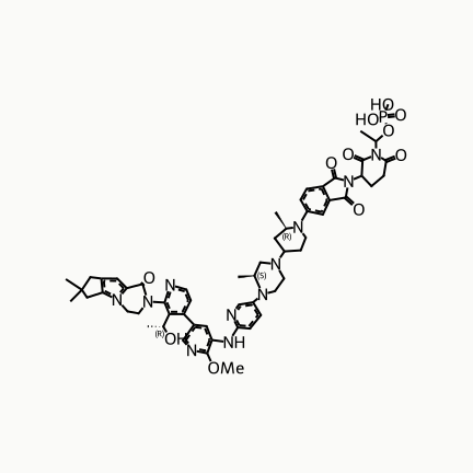 COc1ncc(-c2ccnc(N3CCn4c(cc5c4CC(C)(C)C5)C3=O)c2[C@@H](C)O)cc1Nc1ccc(N2CCN(C3CCN(c4ccc5c(c4)C(=O)N(C4CCC(=O)N(C(C)OP(=O)(O)O)C4=O)C5=O)[C@H](C)C3)C[C@@H]2C)cn1